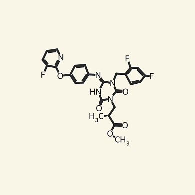 COC(=O)[C@@H](C)Cn1c(=O)[nH]/c(=N\c2ccc(Oc3ncccc3F)cc2)n(Cc2ccc(F)cc2F)c1=O